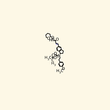 COc1ccc(CCN(C(=O)OC(C)(C)C)C2CCc3cc(/C=C/C(=O)NOC4CCCCO4)ccc32)cc1